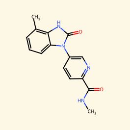 CNC(=O)c1ccc(-n2c(=O)[nH]c3c(C)cccc32)cn1